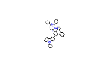 C1=C(/c2cc(-c3ccc4c(c3)c3ccccc3n4-c3ccccc3)cc3c4ccccc4c4ccccc4c23)N/C=C(c2ccccc2)/N=C(/c2ccccc2)CC/1